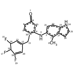 Cc1c(Nc2nc(=O)ccn2CC2=CC(F)C(F)C(F)=C2)ccc2[nH]ccc12